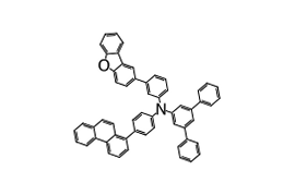 c1ccc(-c2cc(-c3ccccc3)cc(N(c3ccc(-c4cccc5c4ccc4ccccc45)cc3)c3cccc(-c4ccc5oc6ccccc6c5c4)c3)c2)cc1